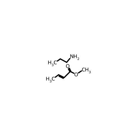 CC=CC(=O)OC.CCCN